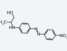 CC(CO)Nc1ccc(/N=N/c2ccc([N+](=O)[O-])cc2)cc1